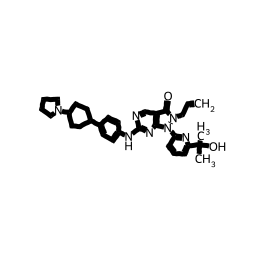 C=CCn1c(=O)c2cnc(Nc3ccc(C4CCC(N5CCCC5)CC4)cc3)nc2n1-c1cccc(C(C)(C)O)n1